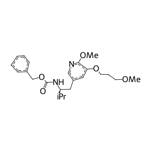 COCCCOc1cc(C[C@H](NC(=O)OCc2ccccc2)C(C)C)cnc1OC